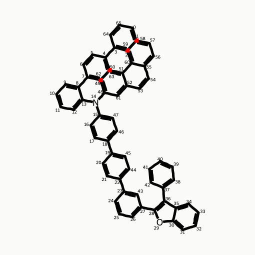 c1ccc(-c2ccc(-c3ccccc3N(c3ccc(-c4ccc(-c5cccc(-c6oc7ccccc7c6-c6ccccc6)c5)cc4)cc3)c3ccc4c(ccc5ccccc54)c3)cc2)cc1